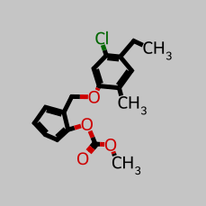 CCc1cc(C)c(OCc2ccccc2OC(=O)OC)cc1Cl